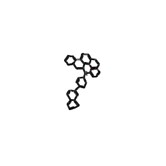 c1ccc(N(c2ccc(-c3ccc4ccccc4c3)cc2)c2cc3ccccc3c3ccc4ccccc4c23)cc1